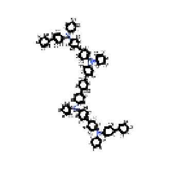 C1=CCCC(N(C2=CCC(C3=CCCC=C3)C=C2)C2=CCC(C3=CCC(N(C4=CC=C(C5=CC=C(c6ccc(N(C7=CCC(c8ccc(N(C9=CC=CCC9)c9ccc(-c%10ccccc%10)cc9)cc8)C=C7)c7ccccc7)cc6)CC5)CC4)c4ccccc4)C=C3)C=C2)=C1